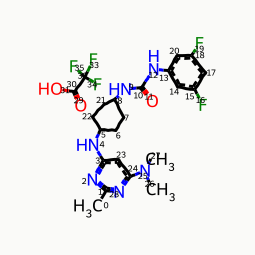 Cc1nc(NC2CCC(NC(=O)Nc3cc(F)cc(F)c3)CC2)cc(N(C)C)n1.O=C(O)C(F)(F)F